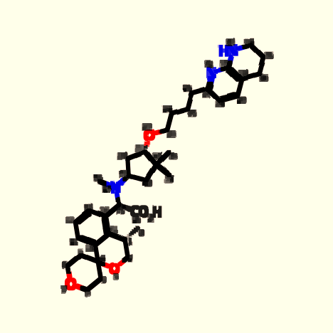 C[C@@H]1COC2(CCOCC2)c2cccc([C@H](C(=O)O)N(C)[C@H]3C[C@H](OCCCCc4ccc5c(n4)NCCC5)C(C)(C)C3)c21